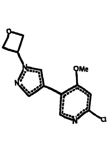 COc1cc(Cl)ncc1-c1cnn(C2COC2)c1